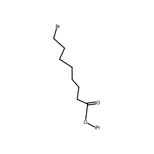 CC(C)OC(=O)CCCCCCCBr